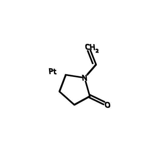 C=CN1CCCC1=O.[Pt]